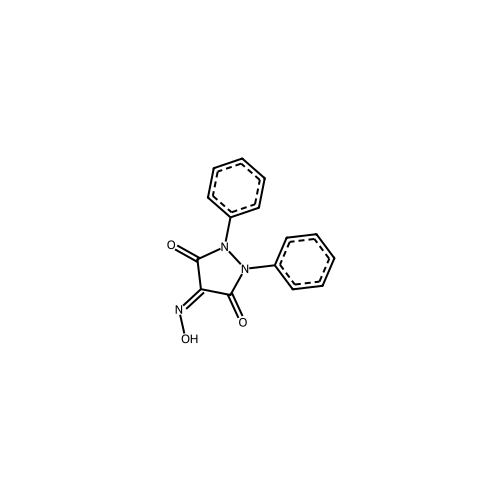 O=C1C(=NO)C(=O)N(c2ccccc2)N1c1ccccc1